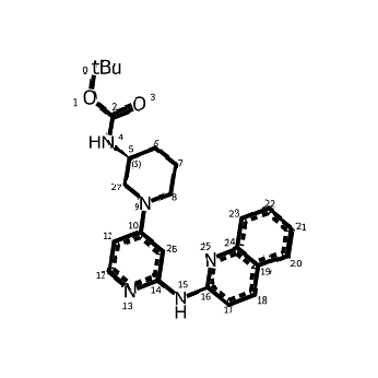 CC(C)(C)OC(=O)N[C@H]1CCCN(c2ccnc(Nc3ccc4ccccc4n3)c2)C1